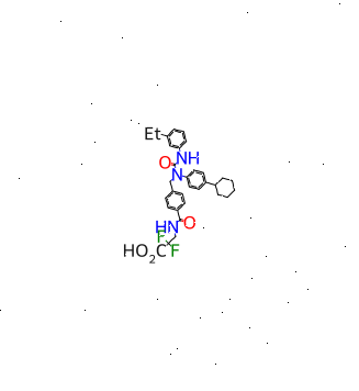 CCc1cccc(NC(=O)N(Cc2ccc(C(=O)NCC(F)(F)C(=O)O)cc2)c2ccc(C3CCCCC3)cc2)c1